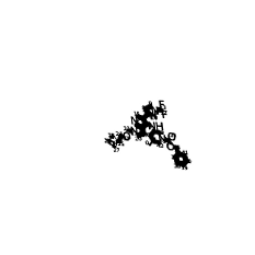 C[C@H]1C[C@@H](Nc2c(-c3ccn(C(F)F)n3)cnc3c2ccn3COCC[Si](C)(C)C)CN(C(=O)OCc2ccccc2)C1